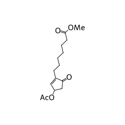 COC(=O)CCCCCCC1=CC(OC(C)=O)CC1=O